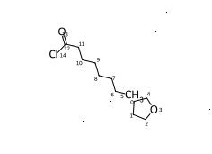 C1CCOC1.CCCCCCCC(=O)Cl